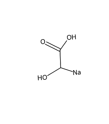 O=C(O)[CH](O)[Na]